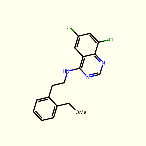 COCc1ccccc1CCNc1ncnc2c(Cl)cc(Cl)cc12